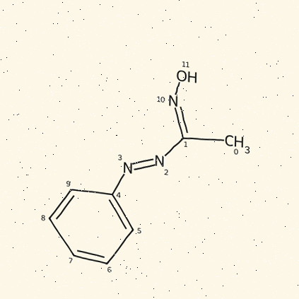 CC(N=Nc1ccccc1)=NO